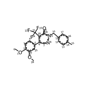 COc1ccc(-c2cnn(Cc3ccc(C)cc3)c(=O)c2C(F)(F)F)cc1OC